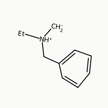 [CH2-][NH+](CC)Cc1ccccc1